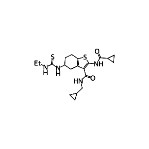 CCNC(=S)NC1CCc2sc(NC(=O)C3CC3)c(C(=O)NCC3CC3)c2C1